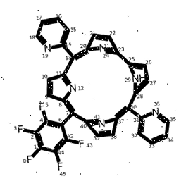 Fc1c(F)c(F)c(C2=C3C=CC(=N3)C(c3ccccn3)=C3C=CC(=N3)c3ccc([nH]3)C(c3ccccn3)=C3C=CC2=N3)c(F)c1F